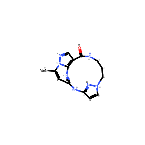 CNc1cc2nc3c(cnn13)C(=O)NCCCn1ccc(n1)N2